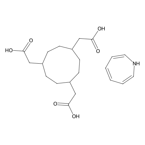 C1=CC=CNC=C1.O=C(O)CC1CCC(CC(=O)O)CCC(CC(=O)O)CC1